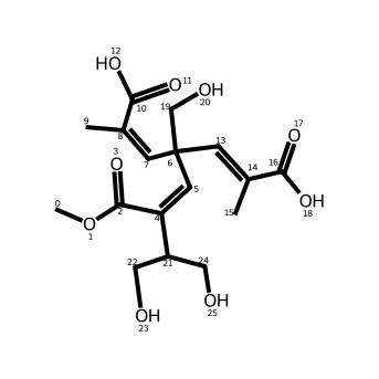 COC(=O)C(=CC(C=C(C)C(=O)O)(C=C(C)C(=O)O)CO)C(CO)CO